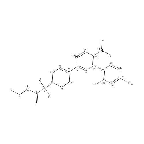 C=C(OCC)C(C)(C)C1CC=C(c2cc(-c3ccc(F)cc3C)c(N(C)C)cn2)CC1